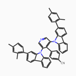 Cc1ccc(-c2ccc3c4ccccc4n(-c4cncc(-n5c6ccccc6c6ccc(-c7ccc(C)cc7C)cc65)c4-c4ccc(C#N)cc4)c3c2)c(C)c1